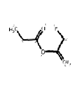 C=C(CF)OC(=O)CC